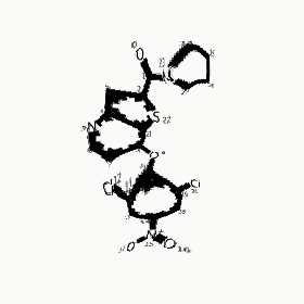 O=C(c1cc2nccc(Oc3c(Cl)cc([N+](=O)[O-])cc3Cl)c2s1)N1CCCC1